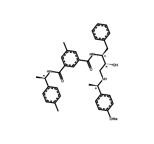 COc1ccc([C@@H](C)NC[C@@H](O)[C@H](Cc2ccccc2)NC(=O)c2cc(C)cc(C(=O)N[C@H](C)c3ccc(C)cc3)c2)cc1